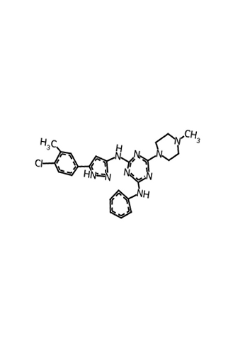 Cc1cc(-c2cc(Nc3nc(Nc4ccccc4)nc(N4CCN(C)CC4)n3)n[nH]2)ccc1Cl